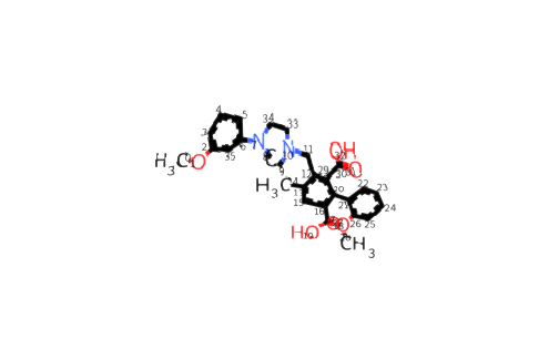 COc1cccc(N2CCN(Cc3c(C)cc(C(=O)O)c(-c4ccccc4OC)c3C(=O)O)CC2)c1